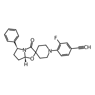 C#Cc1ccc(N2CCC3(CC2)O[C@@H]2CC[C@@H](c4ccccc4)N2C3=O)c(F)c1